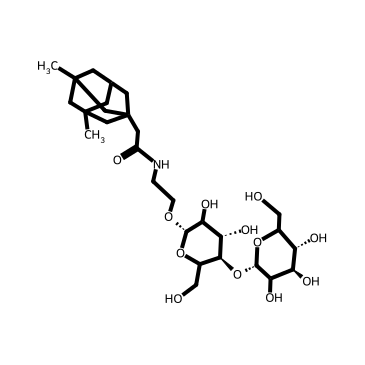 CC12CC3CC(C)(C1)CC(CC(=O)NCCO[C@H]1OC(CO)[C@H](O[C@@H]4OC(CO)[C@H](O)[C@@H](O)C4O)[C@@H](O)C1O)(C3)C2